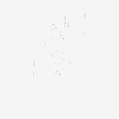 CC1(C)C(C2CCCCC2)=Nc2c(F)cc(-c3nc(NC4CCOCC4O)ncc3Cl)cc21